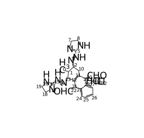 CC1C(=NNC2=NCCN2)CC2=C(C1=NNC1=NCCN1)C(C=O)c1ccccc1C2C=O.Cl.Cl